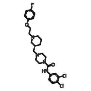 O=C(Nc1ccc(Cl)c(Cl)c1)N1CCN(C[C@@H]2CCCN(CCOc3ccc(F)cc3)C2)CC1